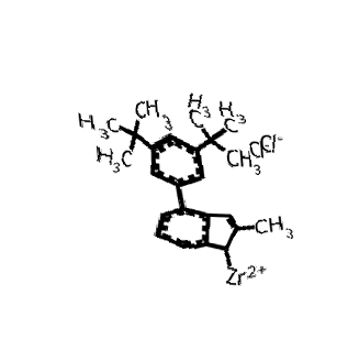 CC1=Cc2c(-c3cc(C(C)(C)C)cc(C(C)(C)C)c3)cccc2[CH]1[Zr+2].[Cl-].[Cl-]